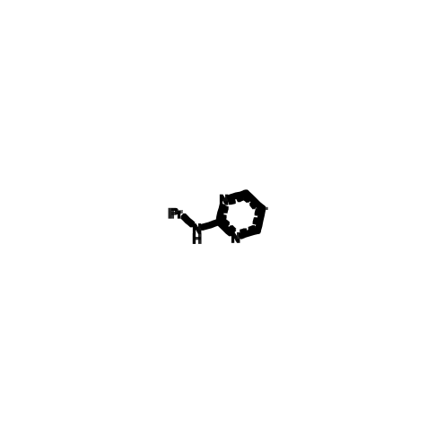 CC(C)Nc1nc[c]cn1